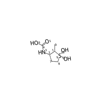 CC1C(NC(=O)O)CCS1(O)O